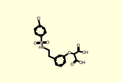 O=C(O)C(Oc1cccc(CCNS(=O)(=O)c2ccc(Cl)cc2)c1)C(=O)O